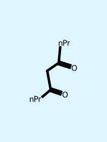 CCCC(=O)CC(=O)CCC